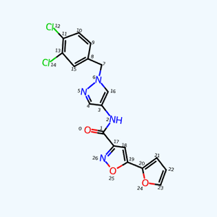 O=C(Nc1cnn(Cc2ccc(Cl)c(Cl)c2)c1)c1cc(-c2ccco2)on1